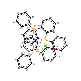 Cl[PH](c1ccccc1)(c1ccccc1P(c1ccccc1)c1ccccc1)c1ccccc1P(c1ccccc1)c1ccccc1